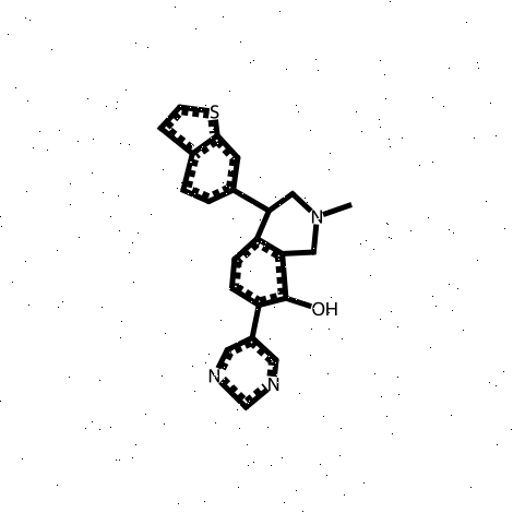 CN1Cc2c(ccc(-c3cncnc3)c2O)C(c2ccc3ccsc3c2)C1